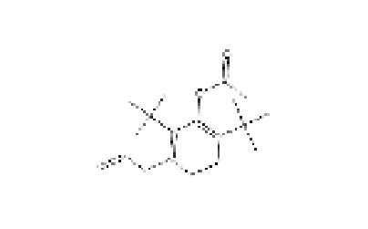 C=CCC1=C(C(C)(C)C)C(OC(C)=O)=C(C(C)(C)C)C[CH]1